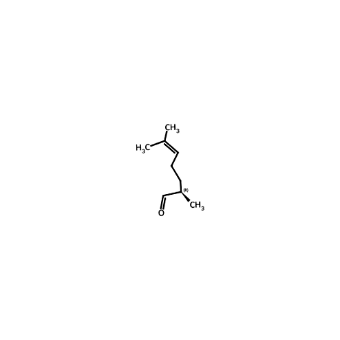 CC(C)=CCC[C@@H](C)C=O